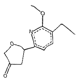 CCc1ccc(C2CC(=O)CO2)nc1OC